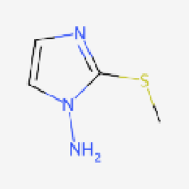 CSc1nccn1N